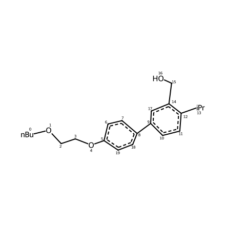 CCCCOCCOc1ccc(-c2ccc(C(C)C)c(CO)c2)cc1